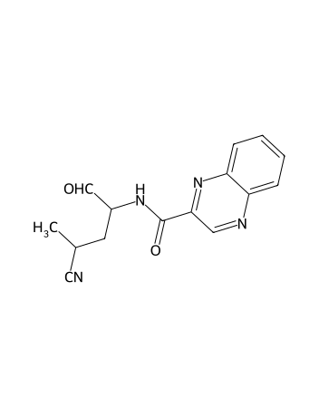 CC(C#N)CC(C=O)NC(=O)c1cnc2ccccc2n1